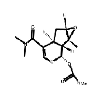 CNC(=O)O[C@@H]1OC=C(C(=O)N(C)C)[C@H]2C[C@@H]3O[C@]3(C)[C@H]12